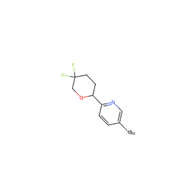 CC(C)(C)c1ccc(C2CCC(F)(F)CO2)nc1